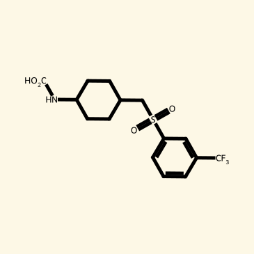 O=C(O)NC1CCC(CS(=O)(=O)c2cccc(C(F)(F)F)c2)CC1